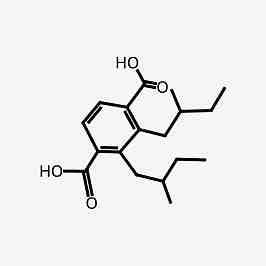 CCC(C)Cc1c(C(=O)O)ccc(C(=O)O)c1CC(C)CC